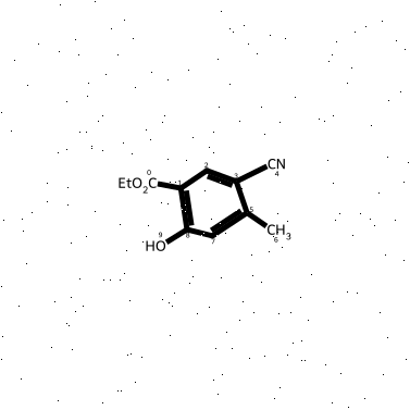 CCOC(=O)c1cc(C#N)c(C)cc1O